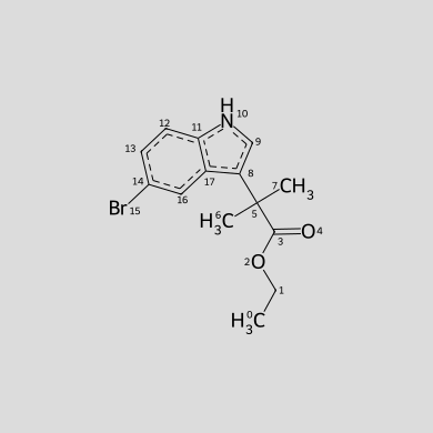 CCOC(=O)C(C)(C)c1c[nH]c2ccc(Br)cc12